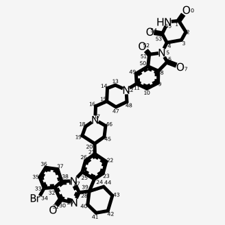 O=C1CCC(N2C(=O)c3ccc(N4CCC(CN5CCC(c6ccc7c(c6)-n6c(nc(=O)c8c(Br)cccc86)C76CCCCC6)CC5)CC4)cc3C2=O)C(=O)N1